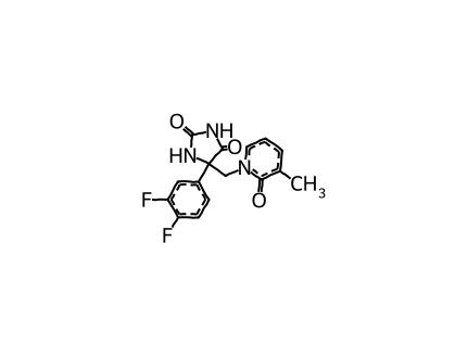 Cc1cccn(CC2(c3ccc(F)c(F)c3)NC(=O)NC2=O)c1=O